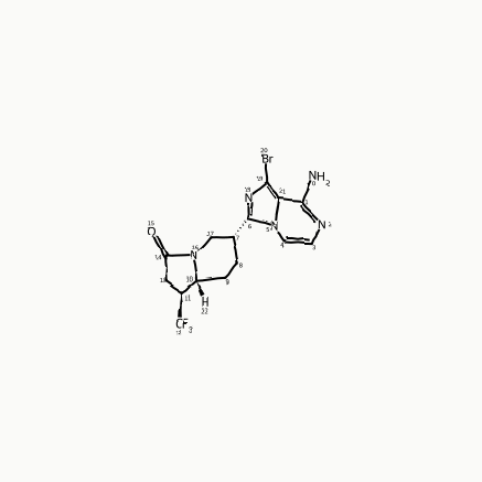 Nc1nccn2c([C@@H]3CC[C@@H]4[C@@H](C(F)(F)F)CC(=O)N4C3)nc(Br)c12